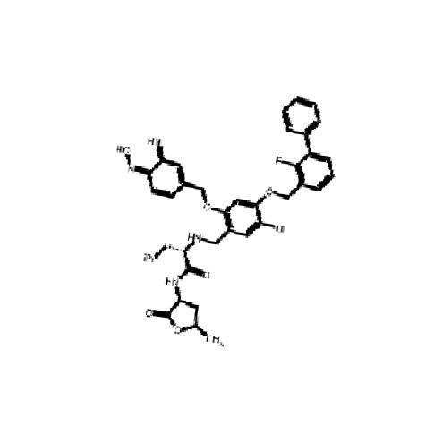 CC(C)C[C@H](NCc1cc(Cl)c(OCc2cccc(-c3ccccc3)c2F)cc1OCC1=CC(=N)/C(=N\O)C=C1)C(=O)NC1CC(C)OC1=O